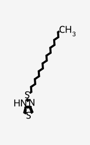 CCCCCCCCCCCCCCCCCSc1nc2cscc2[nH]1